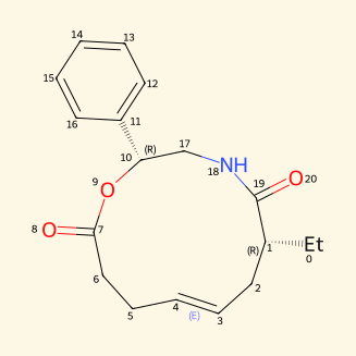 CC[C@@H]1C/C=C/CCC(=O)O[C@H](c2ccccc2)CNC1=O